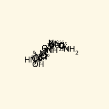 C[C@@H]1CNC(O)c2cc3ccc(C(=O)Nc4cnn(Cc5ccc(N)cc5)c4)nc3n21